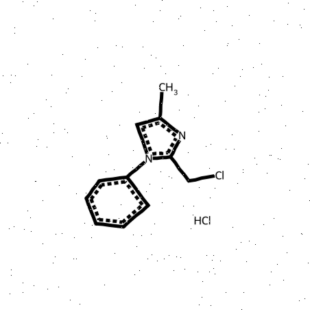 Cc1cn(-c2ccccc2)c(CCl)n1.Cl